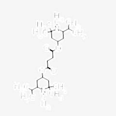 CC(C)C1CC(OC(=O)CCC(=O)OC2CC(C(C)C)N(C)C(C)(C)C2)CC(C)(C)N1C